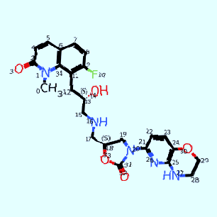 Cn1c(=O)ccc2ccc(F)c(C[C@H](O)CNC[C@H]3CN(c4ccc5c(n4)NCCO5)C(=O)O3)c21